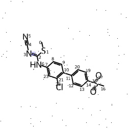 CS/C(=N\C#N)Nc1ccc(-c2ccc(S(C)(=O)=O)cc2)c(Cl)c1